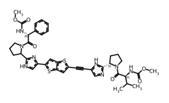 COC(=O)N[C@H](C(=O)N1CCC[C@H]1c1ncc(C#Cc2cc3sc(-c4c[nH]c(C5CCCN5C(=O)[C@H](NC(=O)OC)c5ccccc5)n4)cc3s2)[nH]1)C(C)C